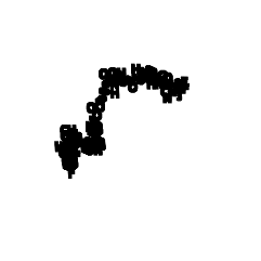 COc1ncc(-c2ccc3nccc(-c4ccc(COC(=O)OCCSSCC(NC(=O)CCC(=O)NCc5cc(C(=O)N[C@@H](C)C(=O)N6CC(F)(F)C[C@H]6C#N)ccn5)C(=O)O)nc4)c3c2)cc1NS(=O)(=O)c1ccc(F)cc1F